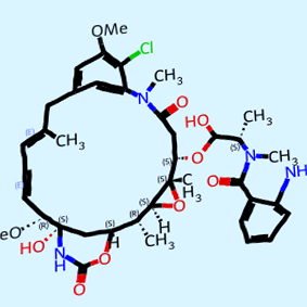 COc1cc2cc(c1Cl)N(C)C(=O)C[C@H](OC(O)[C@H](C)N(C)C(=O)c1ccccc1N)[C@]1(C)O[C@H]1[C@H](C)[C@@H]1C[C@@](O)(NC(=O)O1)[C@H](OC)/C=C/C=C(\C)C2